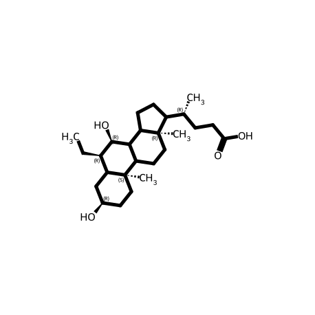 CC[C@@H]1C2C[C@H](O)CC[C@]2(C)C2CC[C@@]3(C)C(CCC3[C@H](C)CCC(=O)O)C2[C@@H]1O